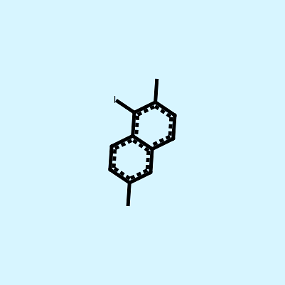 Cc1ccc2c(I)c(C)ccc2c1